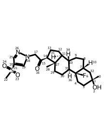 C[C@@]1(O)CC[C@@]2(F)[C@H](CC[C@H]3[C@@H]4CC[C@H](C(=O)Cn5cc(S(C)(=O)=O)cn5)[C@@]4(C)CC[C@@H]32)C1